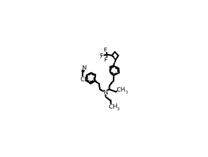 CC#N.CCCN(CCc1ccccc1)C(CC)CCc1ccc(C2CCC2C(F)(F)F)cc1